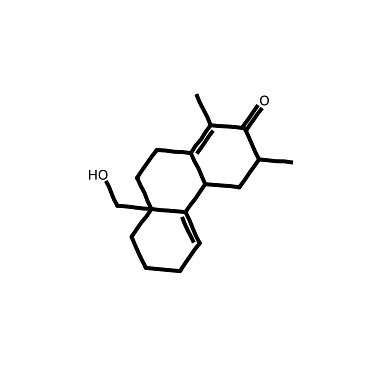 CC1=C2CCC3(CO)CCCC=C3C2CC(C)C1=O